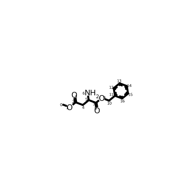 COC(=O)CC(N)C(=O)OCc1ccccc1